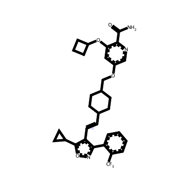 NC(=O)c1ncc(OCC2CCC(/C=C/c3c(-c4ccccc4C(F)(F)F)noc3C3CC3)CC2)cc1OC1CCC1